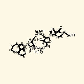 O=c1c2ncn([C@@H]3O[C@@H]4COP(=O)(S)O[C@H]5[C@@H](F)[C@H](n6cc7c8c(ncnc86)NCCC7)O[C@@H]5COP(=O)(O)O[C@@H]3[C@@H]4O)c2ncn1CCO